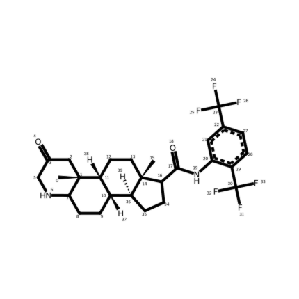 C[C@]12CC(=O)CNC1CC[C@@H]1[C@H]2CC[C@]2(C)C(C(=O)Nc3cc(C(F)(F)F)ccc3C(F)(F)F)CC[C@@H]12